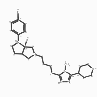 Cn1c(SCCCN2CC3CCN(c4ccc(F)cc4)[C@@H]3C2)nnc1C1CCOCC1